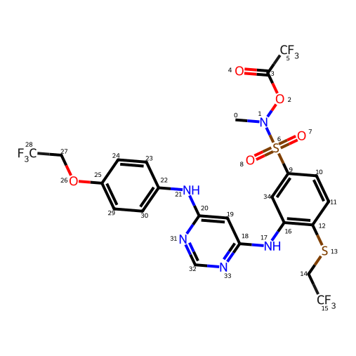 CN(OC(=O)C(F)(F)F)S(=O)(=O)c1ccc(SCC(F)(F)F)c(Nc2cc(Nc3ccc(OCC(F)(F)F)cc3)ncn2)c1